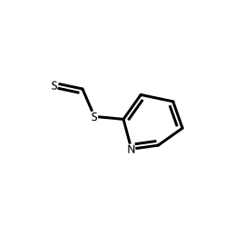 S=CSc1ccccn1